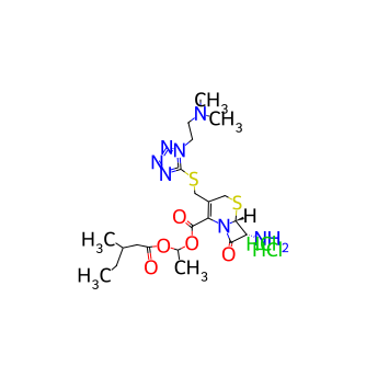 CCC(C)CC(=O)OC(C)OC(=O)C1=C(CSc2nnnn2CCN(C)C)CS[C@@H]2[C@H](N)C(=O)N12.Cl.Cl